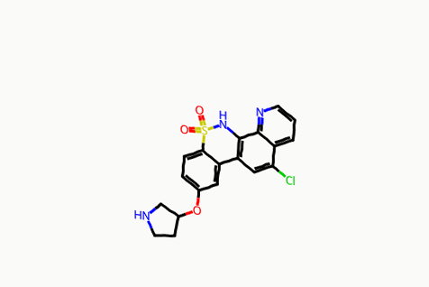 O=S1(=O)Nc2c(cc(Cl)c3cccnc23)-c2cc(OC3CCNC3)ccc21